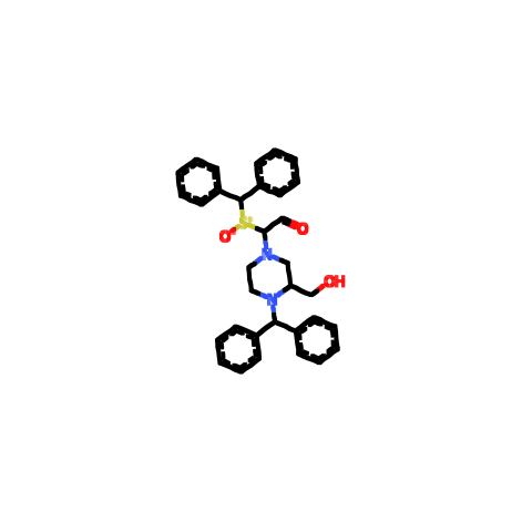 O=CC(N1CCN(C(c2ccccc2)c2ccccc2)C(CO)C1)[S+]([O-])C(c1ccccc1)c1ccccc1